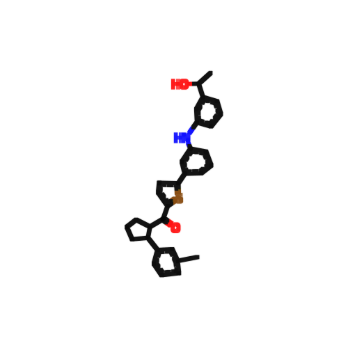 Cc1cccc(C2CCCC2C(=O)c2ccc(-c3cccc(Nc4cccc(C(C)O)c4)c3)s2)c1